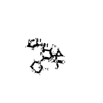 C[C@@H]1COCCN1c1cc(C2(S(C)(=O)=O)CC2)c(F)c(Nc2ccn[nH]2)n1